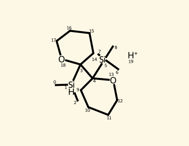 C[SiH](C)C1(C2([Si](C)(C)C)CCCCO2)CCCCO1.[H+]